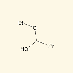 CCOC(O)C(C)C